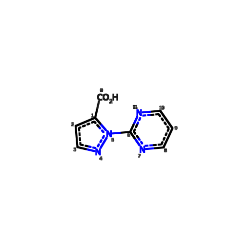 O=C(O)c1ccnn1-c1ncccn1